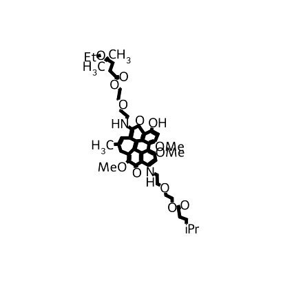 CCOC(C)(C)CCC(=O)OCCOCCNc1c2c3c4c(c(OC)c(=O)c5c(NCCOCCOC(=O)CCC(C)C)cc(OC)c(c6c(OC)cc(O)c(c1=O)c63)c54)CC(C)=C2